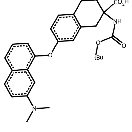 CN(C)c1ccc2cccc(Oc3ccc4c(c3)CC(NC(=O)OC(C)(C)C)(C(=O)O)CC4)c2c1